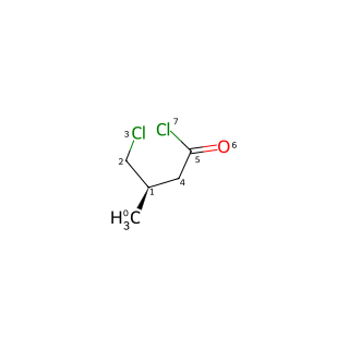 C[C@@H](CCl)CC(=O)Cl